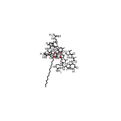 CCCCCCCCCCCCCCCC(=O)N[C@H](C(=O)N[C@@H](CCCNC(=N)N)C(=O)N1CCC[C@H]1C(=O)N[C@H](C(=O)N[C@@H](C)C(=O)N[C@H]1CC(=O)NNN([C@@H](C)C(=O)N[C@@H](CCCNC(=N)N)C(=O)N[C@@H](CC(C)C)C(=O)N[C@@H](CCCNC(=N)N)C(=O)N[C@@H](CC(C)C)C(=O)N[C@@H](CCCNC(=N)N)C(=O)N[C@H](C(=O)N[C@@H](CO)C(N)=O)C(C)C)C1=O)C(C)C)C(C)C